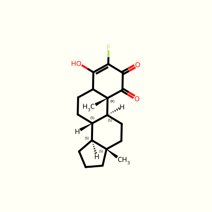 C[C@@]12CCC[C@H]1[C@@H]1CCC3C(O)=C(F)C(=O)C(=O)[C@]3(C)[C@H]1CC2